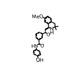 COc1ccc2c(c1)/C(=C/C(=O)c1cccc(C(=O)Nc3ccc(O)cc3)c1)NC(C)(C)C2